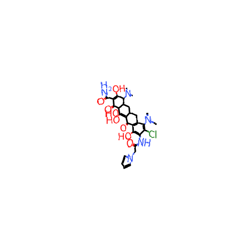 CN(C)c1c(Cl)c(NC(=O)Cn2cccc2)c(O)c2c1CC1CC3[C@H](N(C)C)C(O)=C(C(N)=O)C(=O)[C@@]3(O)C(O)=C1C2=O